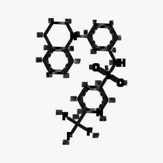 O=S(=O)(Nc1cccc(N2CCCc3ccccc32)c1)c1ccc(C(F)(F)F)nc1